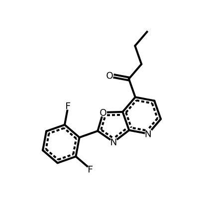 CCCC(=O)c1ccnc2nc(-c3c(F)cccc3F)oc12